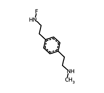 CNCCc1ccc(CCNF)cc1